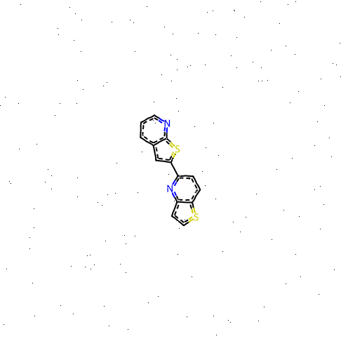 c1cnc2sc(-c3ccc4sccc4n3)cc2c1